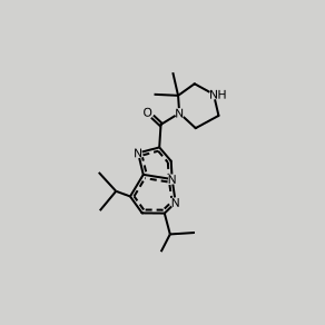 CC(C)c1cc(C(C)C)c2nc(C(=O)N3CCNCC3(C)C)cn2n1